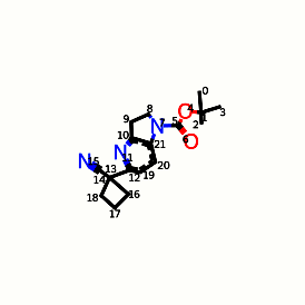 CC(C)(C)OC(=O)N1CCc2nc(C3(C#N)CCC3)ccc21